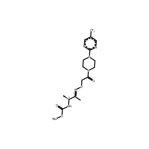 C/C(=N\OCC(=O)N1CCN(c2ncc(C(F)(F)F)cn2)CC1)[C@H](C)NC(=O)OC(C)(C)C